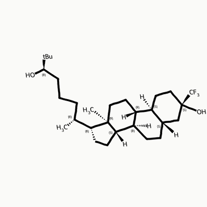 C[C@H](CCC[C@@H](O)C(C)(C)C)[C@H]1CC[C@H]2[C@@H]3CC[C@H]4C[C@](O)(C(F)(F)F)CC[C@@H]4[C@H]3CC[C@]12C